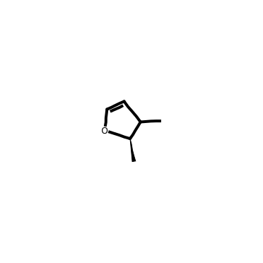 CC1C=CO[C@@H]1C